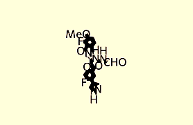 COc1ccc2c(c1F)C(=O)N(C[C@H](NC(=O)NC=O)c1cc3cc(-c4cn[nH]c4)c(F)cc3o1)C2